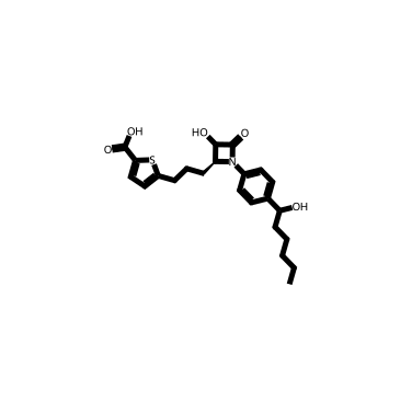 CCCCCC(O)c1ccc(N2C(=O)C(O)[C@@H]2CCCc2ccc(C(=O)O)s2)cc1